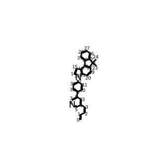 C=C/C=C\c1cncc(-c2ccc(-n3ccc4c5c(ccc43)C(C)(C)c3ccccc3-5)cc2)c1